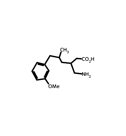 COc1cccc(CC(C)CC(CN)CC(=O)O)c1